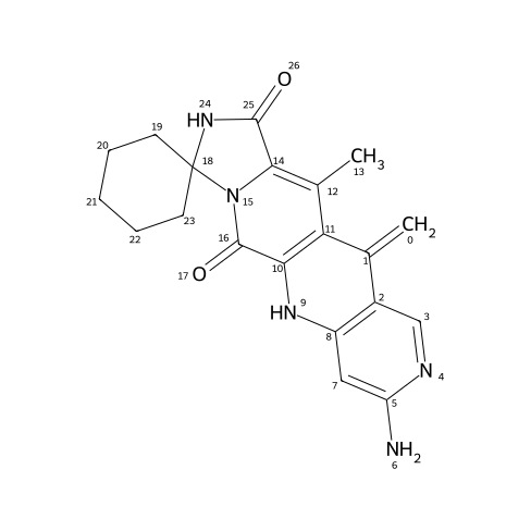 C=C1c2cnc(N)cc2Nc2c1c(C)c1n(c2=O)C2(CCCCC2)NC1=O